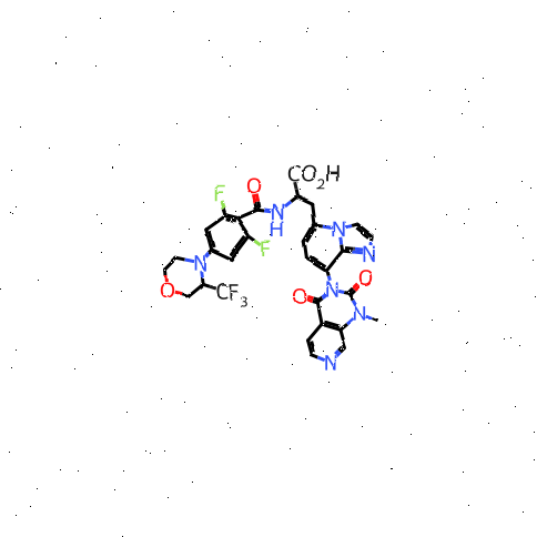 Cn1c(=O)n(-c2ccc(CC(NC(=O)c3c(F)cc(N4CCOCC4C(F)(F)F)cc3F)C(=O)O)n3ccnc23)c(=O)c2ccncc21